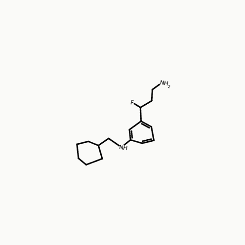 NCCC(F)c1cccc(NCC2CCCCC2)c1